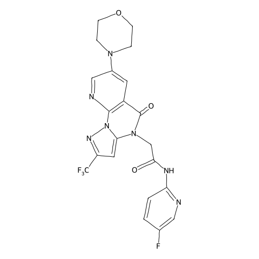 O=C(Cn1c(=O)c2cc(N3CCOCC3)cnc2n2nc(C(F)(F)F)cc12)Nc1ccc(F)cn1